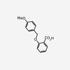 COc1ccc(COc2ccccc2C(=O)O)cc1